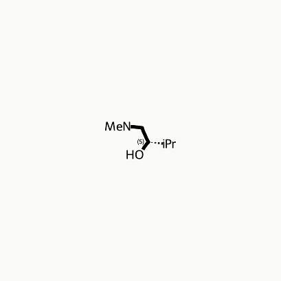 CNC[C@@H](O)C(C)C